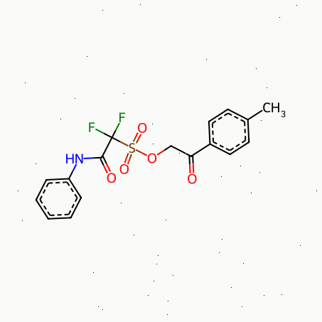 Cc1ccc(C(=O)COS(=O)(=O)C(F)(F)C(=O)Nc2ccccc2)cc1